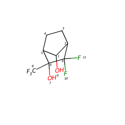 OC1C2CCC1C(O)(C(F)(F)F)C2(F)F